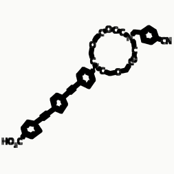 N#Cc1ccc(CN2CCOCCOCCN(c3ccc(C#Cc4ccc(C#Cc5ccc(C(=O)O)cc5)cc4)cc3)CCOCCOCC2)cc1